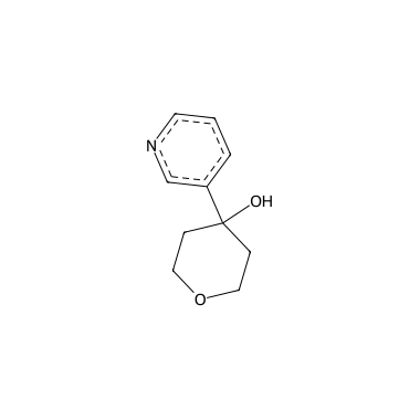 OC1(c2cccnc2)CCOCC1